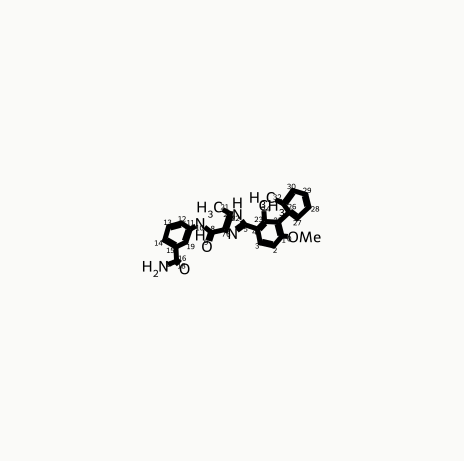 COc1ccc(-c2nc(C(=O)Nc3cccc(C(N)=O)c3)c(C)[nH]2)c(C)c1-c1ccccc1C